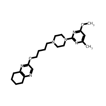 COc1cc(C)nc(N2CCN(CCCCOc3cnc4c(n3)CCCC4)CC2)n1